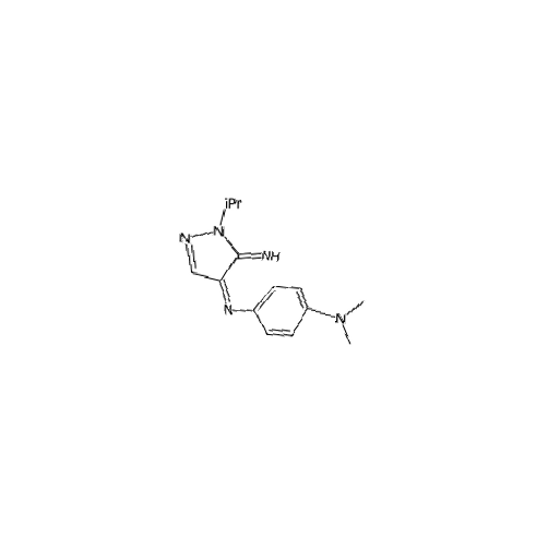 CC(C)N1N=CC(=Nc2ccc(N(C)C)cc2)C1=N